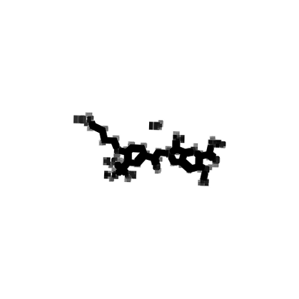 Br.CCOc1cc2c(nc1C(=O)NC)C(=N)N(CC(=O)c1ccc(OCCCCC(=O)O)c(C(C)(C)C#N)c1)C2